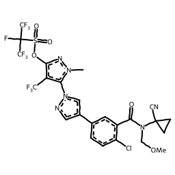 COCN(C(=O)c1cc(-c2cnn(-c3c(C(F)(F)F)c(OS(=O)(=O)C(F)(C(F)(F)F)C(F)(F)F)nn3C)c2)ccc1Cl)C1(C#N)CC1